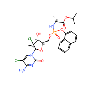 CC(C)OC(=O)[C@@H](C)NP(=O)(OC[C@H]1OC(n2cc(Cl)c(N)nc2=O)[C@](C)(Cl)[C@@H]1O)Oc1cccc2ccccc12